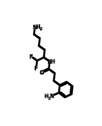 NCCCCC(NC(=O)CCc1ccccc1N)C(F)F